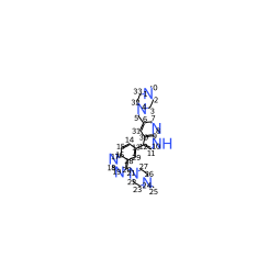 CN1CCN(Cc2cnc3[nH]cc(-c4ccc5ncnc(N6CCN(C)CC6)c5c4)c3c2)CC1